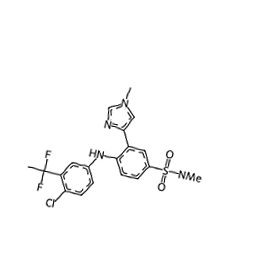 CNS(=O)(=O)c1ccc(Nc2ccc(Cl)c(C(C)(F)F)c2)c(-c2cn(C)cn2)c1